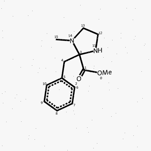 COC(=O)C1(Cc2ccccc2)NCCN1C